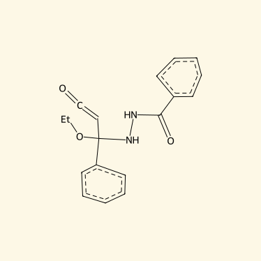 CCOC(C=C=O)(NNC(=O)c1ccccc1)c1ccccc1